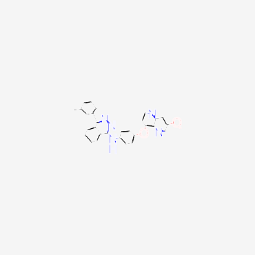 COc1cnc2c(Oc3ccc(Nc4nnc(-c5cccc(C)c5)c5ccccc45)cc3)ccnc2c1